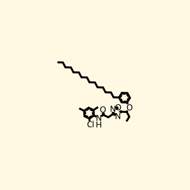 CCCCCCCCCCCCCCCc1cccc(OC(CC)c2nc(CC(=O)Nc3c(C)cc(C)cc3Cl)no2)c1